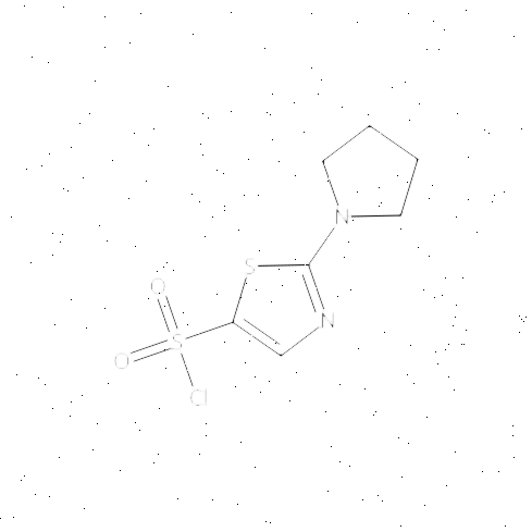 O=S(=O)(Cl)c1cnc(N2CCCC2)s1